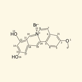 COc1ccc2c(cc[n+]3cc4c(O)cc(O)cc4cc23)c1.[Br-]